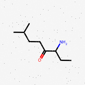 CCC(N)C(=O)CCC(C)C